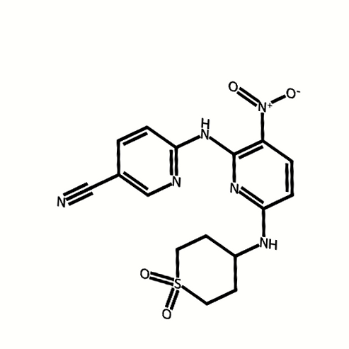 N#Cc1ccc(Nc2nc(NC3CCS(=O)(=O)CC3)ccc2[N+](=O)[O-])nc1